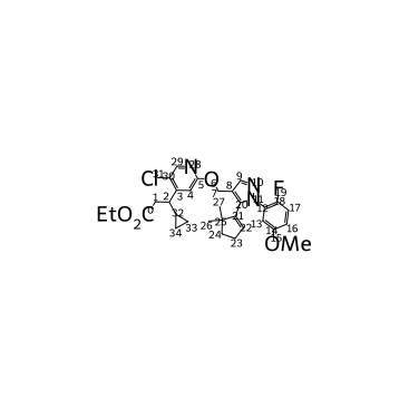 CCOC(=O)CC(c1cc(OCc2cnn(-c3cc(OC)ccc3F)c2C2=CCCC2(C)C)ncc1Cl)C1CC1